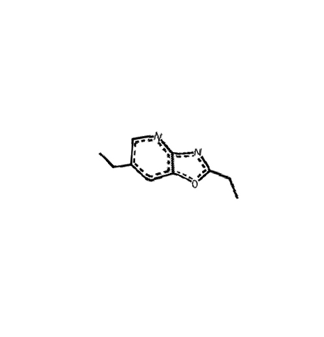 CCc1cnc2nc(CC)oc2c1